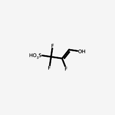 O=S(=O)(O)C(F)(F)C(F)=CO